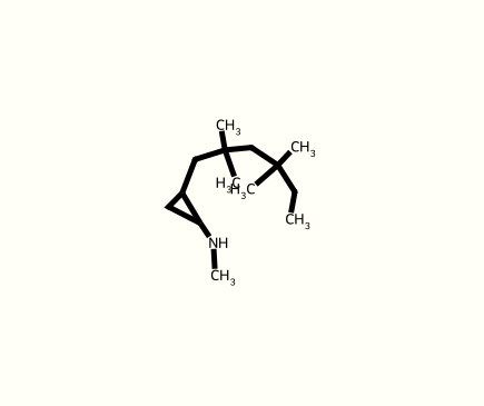 CCC(C)(C)CC(C)(C)CC1CC1NC